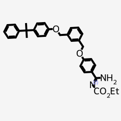 CCOC(=O)/N=C(\N)c1ccc(OCc2cccc(COc3ccc(C(C)(C)c4ccccc4)cc3)c2)cc1